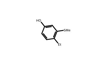 CCc1ccc(O)cc1SC